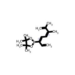 C=C/C(=C\C=C(\C)C(=C)C)B1OC(C)(C)C(C)(C)O1